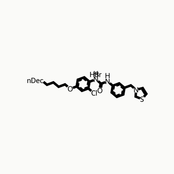 Br.CCCCCCCCCCCCCCOc1ccc(NC(=O)Nc2cccc(CN3C=CSC3)c2)c(Cl)c1